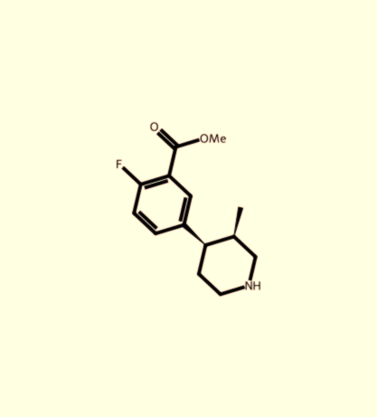 COC(=O)c1cc([C@@H]2CCNC[C@@H]2C)ccc1F